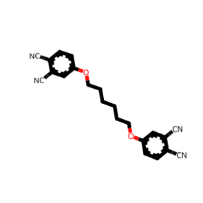 N#Cc1ccc(OCCCCCCOc2ccc(C#N)c(C#N)c2)cc1C#N